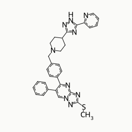 CSc1nc2nc(-c3ccc(CN4CCC(c5n[nH]c(-c6ccccn6)n5)CC4)cc3)c(-c3ccccc3)cn2n1